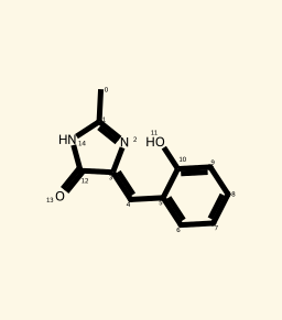 CC1=NC(=Cc2ccccc2O)C(=O)N1